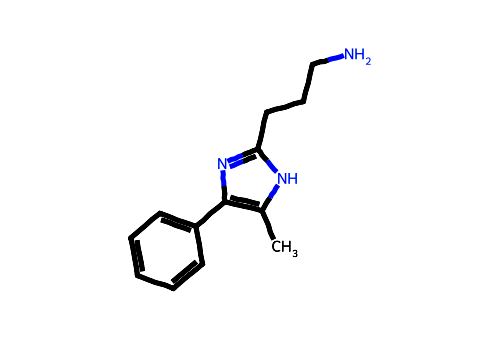 Cc1[nH]c(CCCN)nc1-c1ccccc1